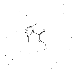 CCOC(=O)c1c(C)ccn1I